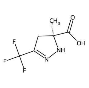 C[C@@]1(C(=O)O)CC(C(F)(F)F)=NN1